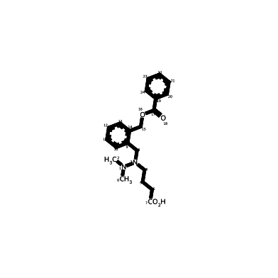 CN(C)N(CCCC(=O)O)Cc1ccccc1COC(=O)c1ccccc1